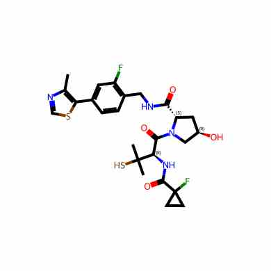 Cc1ncsc1-c1ccc(CNC(=O)[C@@H]2C[C@@H](O)CN2C(=O)[C@@H](NC(=O)C2(F)CC2)C(C)(C)S)c(F)c1